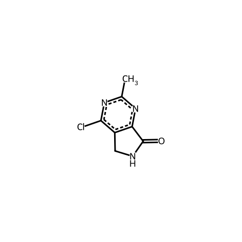 Cc1nc(Cl)c2c(n1)C(=O)NC2